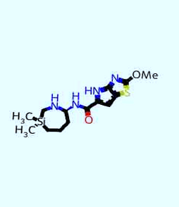 COc1nc2[nH]c(C(=O)N[C@H]3CCC[Si](C)(C)CN3)cc2s1